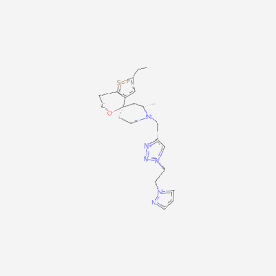 CCc1cc2c(s1)CCO[C@@]21CCN(Cc2cn(CCn3cccn3)nn2)[C@@H](C)C1